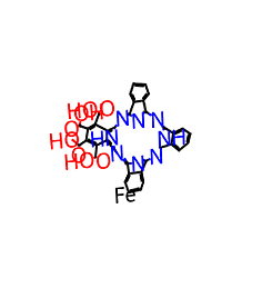 O=C(O)c1c(C(=O)O)c(C(=O)O)c2c3nc4nc(nc5[nH]c(nc6nc(nc([nH]3)c2c1C(=O)O)-c1ccccc1-6)c1ccccc51)-c1ccccc1-4.[Fe]